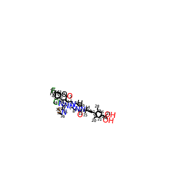 COC(=O)C1=C(CN2CCN3C(=O)N(C(C)(C)C#Cc4c(C)cc(C(O)O)cc4C)C[C@@H]3C2)NC(c2nccs2)=N[C@H]1c1ccc(F)cc1Cl